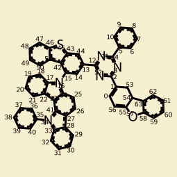 C1=C(c2nc(-c3ccccc3)nc(-c3cc(-n4c5ccccc5c5c4ccc4c6ccccc6n(-c6ccccc6)c45)c4c(c3)sc3ccccc34)n2)CC2C(=C1)Oc1ccccc12